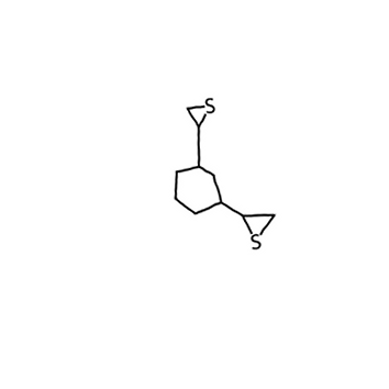 C1CC(C2CS2)CC(C2CS2)C1